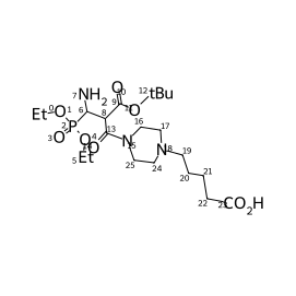 CCOP(=O)(OCC)C(N)C(C(=O)OC(C)(C)C)C(=O)N1CCN(CCCCC(=O)O)CC1